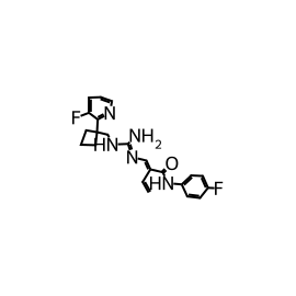 C=C/C(=C\N=C(/N)NCC1(c2ncccc2F)CCC1)C(=O)Nc1ccc(F)cc1